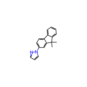 CC1(C)c2ccccc2-c2ccc(-n3cccn3)cc21